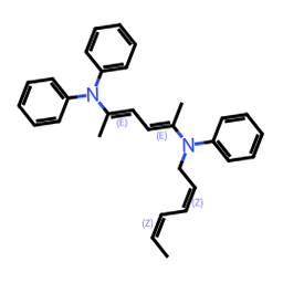 C/C=C\C=C/CN(/C(C)=C/C=C(\C)N(c1ccccc1)c1ccccc1)c1ccccc1